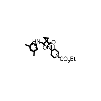 CCOC(=O)N1CCC(NC(=O)C2(C(=O)Nc3cc(C)cc(C)c3)CC2)CC1